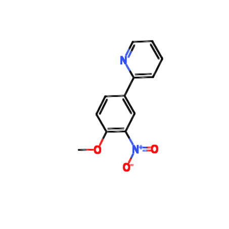 COc1ccc(-c2ccccn2)cc1[N+](=O)[O-]